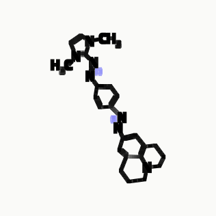 Cn1cc[n+](C)c1/N=N/c1ccc(/N=N/c2cc3c4c(c2)CCCN4CCC3)cc1